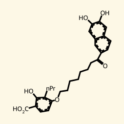 CCCc1c(OCCCCCCCC(=O)c2ccc3cc(O)c(O)cc3c2)ccc(C(=O)O)c1O